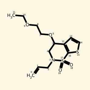 C=CCN1CC(OCCOCC)c2ccsc2S1(=O)=O